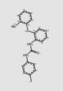 Cc1ccc(NC(=O)Nc2ccncc2Oc2ccccc2C(C)(C)C)cc1